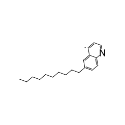 CCCCCCCCCCc1ccc2ncc[c]c2c1